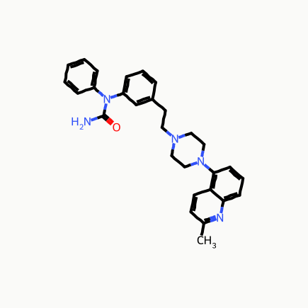 Cc1ccc2c(N3CCN(CCc4cccc(N(C(N)=O)c5ccccc5)c4)CC3)cccc2n1